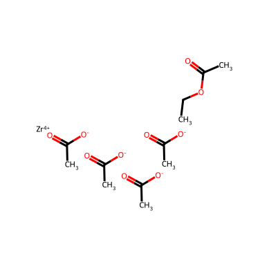 CC(=O)[O-].CC(=O)[O-].CC(=O)[O-].CC(=O)[O-].CCOC(C)=O.[Zr+4]